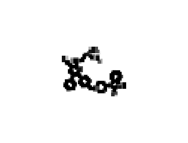 CN(C)CCNc1nc(-c2ccc(CN3CCC(n4c(=O)[nH]c5ccccc54)CC3)cc2)c(-c2ccccc2)cc1C#N